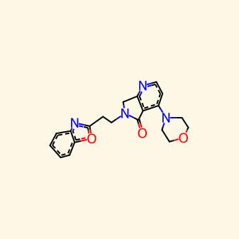 O=C1c2c(N3CCOCC3)ccnc2CN1CCc1nc2ccccc2o1